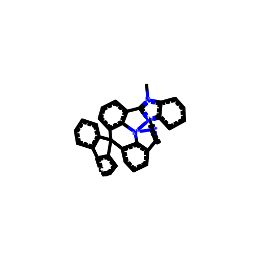 Cn1c2[n+](c3ccccc31)[N+]13c4c(cccc4C4(c5ccccc5-c5ccccc54)c4cccc-2c41)-c1cccc[n+]13